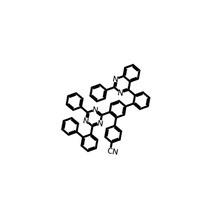 N#Cc1ccc(-c2cc(-c3ccccc3-c3nc(-c4ccccc4)nc4ccccc34)ccc2-c2nc(-c3ccccc3)nc(-c3ccccc3-c3ccccc3)n2)cc1